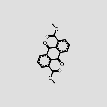 COC(=O)c1cccc2c1C(=O)c1cccc(C(=O)OC)c1C2=O